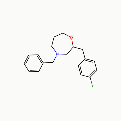 Fc1ccc(CC2CN(Cc3ccccc3)CCCO2)cc1